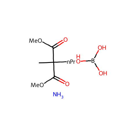 CCCC(C)(C(=O)OC)C(=O)OC.N.OB(O)O